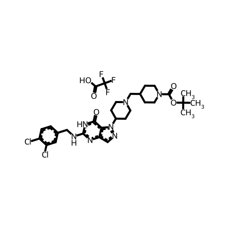 CC(C)(C)OC(=O)N1CCC(CN2CCC(n3ncc4nc(NCc5ccc(Cl)c(Cl)c5)[nH]c(=O)c43)CC2)CC1.O=C(O)C(F)(F)F